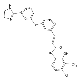 O=C(C=Cc1cccc(Oc2ccnc(C3=NCCN3)c2)c1)Nc1ccc(Cl)c(C(F)(F)F)c1O